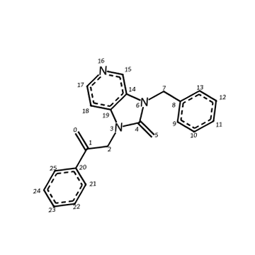 C=C(CN1C(=C)N(Cc2ccccc2)c2cnccc21)c1ccccc1